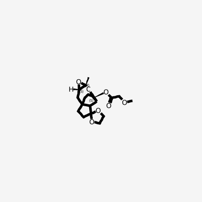 COCC(=O)O[C@H]1C[C@@]2(C)O[C@H]2CC23CCCC1C2C1(CC3)OCCO1